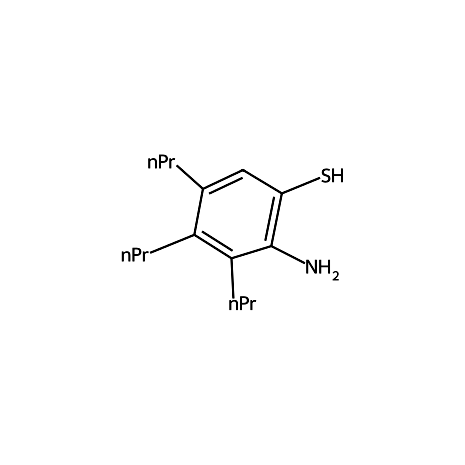 CCCc1cc(S)c(N)c(CCC)c1CCC